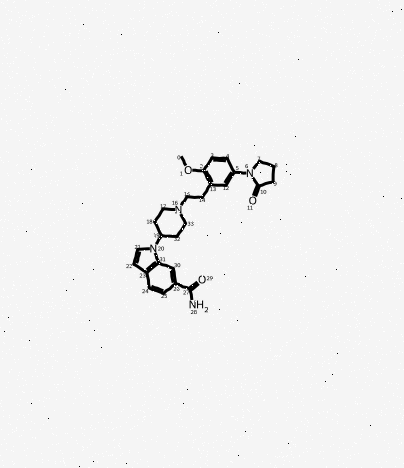 COc1ccc(N2CCCC2=O)cc1CCN1CCC(n2ccc3ccc(C(N)=O)cc32)CC1